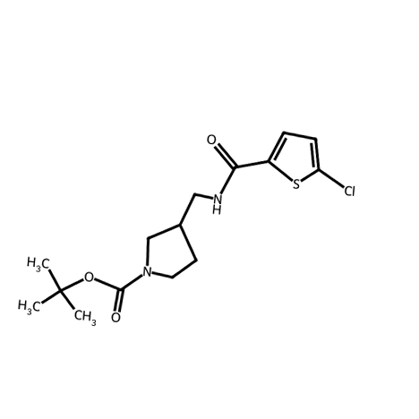 CC(C)(C)OC(=O)N1CCC(CNC(=O)c2ccc(Cl)s2)C1